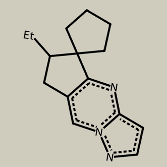 CCC1Cc2cn3nccc3nc2C12CCCC2